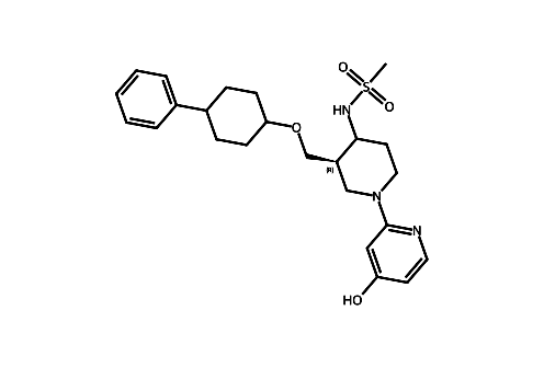 CS(=O)(=O)NC1CCN(c2cc(O)ccn2)C[C@H]1COC1CCC(c2ccccc2)CC1